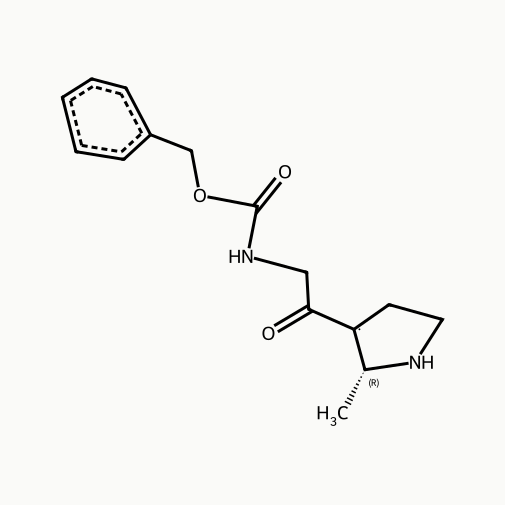 C[C@H]1NCC[C]1C(=O)CNC(=O)OCc1ccccc1